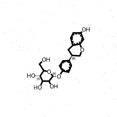 OCC1O[C@H](Oc2ccc([C@@H]3COc4cc(O)ccc4C3)cc2)C(O)C(O)[C@@H]1O